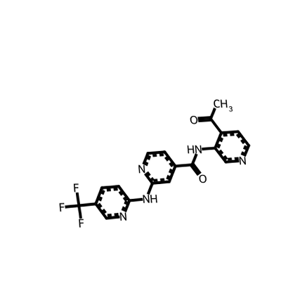 CC(=O)c1ccncc1NC(=O)c1ccnc(Nc2ccc(C(F)(F)F)cn2)c1